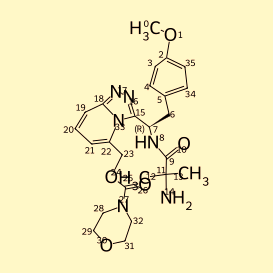 COc1ccc(C[C@@H](NC(=O)C(C)(C)N)c2nnc3cccc(COC(=O)N4CCOCC4)n23)cc1